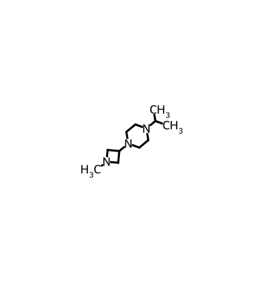 CC(C)N1CCN(C2CN(C)C2)CC1